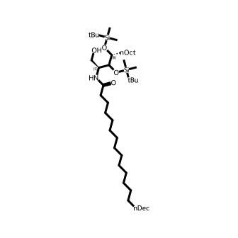 CCCCCCCCCCCCCCCCCCCCCCCC(=O)N[C@@H](CO)C(O[Si](C)(C)C(C)(C)C)[C@@H](CCCCCCCC)O[Si](C)(C)C(C)(C)C